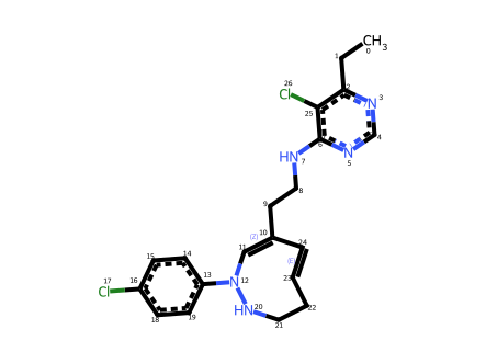 CCc1ncnc(NCCC2=C/N(c3ccc(Cl)cc3)NCC\C=C\2)c1Cl